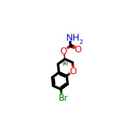 NC(=O)O[C@H]1COc2cc(Br)ccc2C1